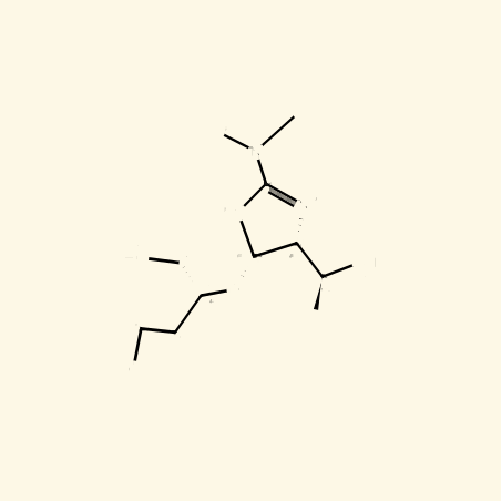 C[C@H](O)[C@H]1N=C(N(C)C)S[C@H]1O[C@@H](CO)CCO